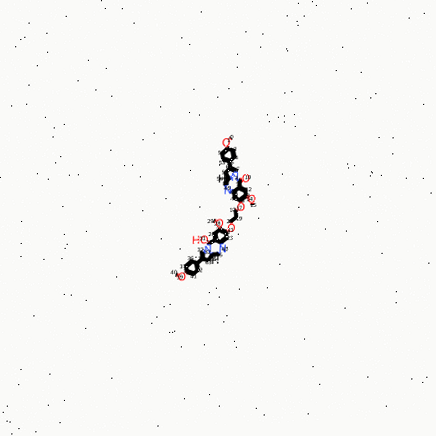 COc1ccc(C2=CN3C(=O)c4cc(OC)c(OCCCOc5cc6c(cc5OC)C(O)N5C=C(c7ccc(OC)cc7)C[C@H]5C=N6)cc4N=C[C@@H]3C2)cc1